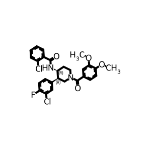 COc1ccc(C(=O)N2CC[C@@H](NC(=O)c3ccccc3Cl)[C@H](c3ccc(F)c(Cl)c3)C2)cc1OC